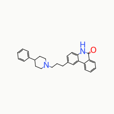 O=c1[nH]c2ccc(CCCN3CCC(c4ccccc4)CC3)cc2c2ccccc12